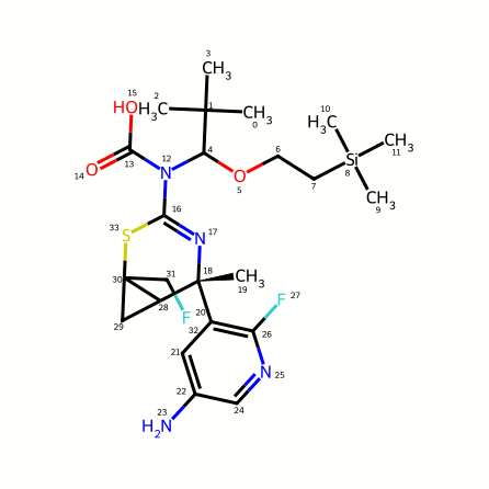 CC(C)(C)C(OCC[Si](C)(C)C)N(C(=O)O)C1=N[C@](C)(c2cc(N)cnc2F)C2CC2(CF)S1